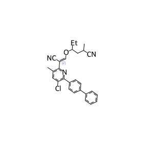 CCC(CC(C)C#N)O/C=C(\C#N)c1nc(-c2ccc(-c3ccccc3)cc2)c(Cl)cc1C